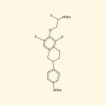 CCCCCCc1ccc(C2CCc3c(cc(F)c(OCC(F)CCCCCC)c3F)C2)cc1